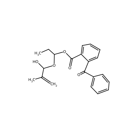 C=C(C)C(O)OC(CC)OC(=O)c1ccccc1C(=O)c1ccccc1